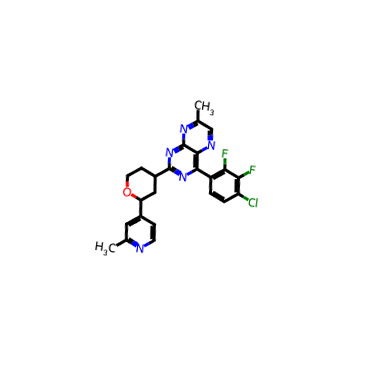 Cc1cc(C2CC(c3nc(-c4ccc(Cl)c(F)c4F)c4ncc(C)nc4n3)CCO2)ccn1